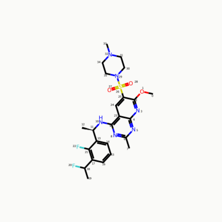 COc1nc2nc(C)nc(N[C@H](C)c3cccc(C(C)F)c3F)c2cc1S(=O)(=O)N1CCN(C)CC1